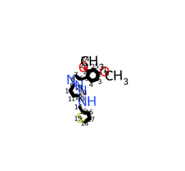 COc1ccc(-c2cnc3ccc(NCc4cccs4)nn23)c(OC)c1